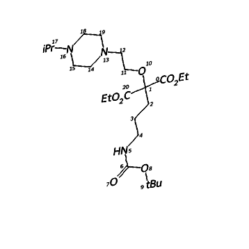 CCOC(=O)C(CCCNC(=O)OC(C)(C)C)(OCCN1CCN(C(C)C)CC1)C(=O)OCC